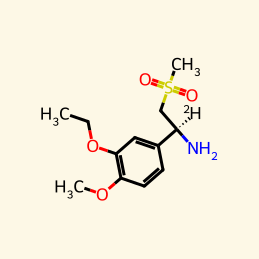 [2H][C@@](N)(CS(C)(=O)=O)c1ccc(OC)c(OCC)c1